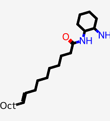 CCCCCCCCC=CCCCCCCCC(=O)NC1CCCCC1N